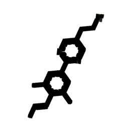 CC=Cc1c(C)cc(-c2ncc(C[CH2][Rf])cn2)cc1C